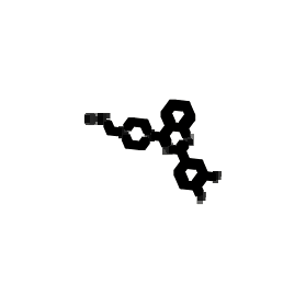 O=CCN1CCN(c2nc(-c3ccc(F)c(F)c3)nc3ccccc23)CC1